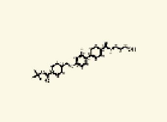 CC(C)(C)OC(=O)N1CCC(COc2ccc(C3=CCC(C(=O)NCCCO)CC3)c(F)c2)CC1